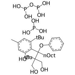 CCCCCCCCC(Oc1ccccc1)(c1c(C(C)(C)C)cc(C)cc1C(C)(C)C)C(CO)(CO)CO.OP(O)O.OP(O)OP(O)O